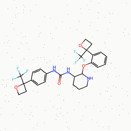 O=C(Nc1ccc(C2(C(F)(F)F)CCO2)cc1)NC1CCCNC1Oc1ccccc1C1(C(F)(F)F)CCO1